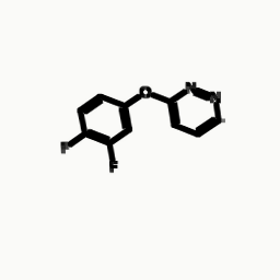 Fc1ccc(Oc2cc[c]nn2)cc1F